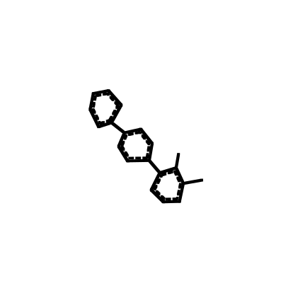 Cc1cccc(-c2ccc(-c3ccccc3)cc2)c1C